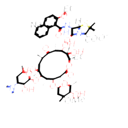 CCOc1ccc2ccccc2c1C(=O)N[C@@H]1C(=O)N2[C@@H]1SC(C)(C)[C@@H]2C(=O)[O-].CC[C@H]1OC(=O)[C@H](C)[C@@H](O[C@H]2C[C@@](C)(OC)[C@@H](O)[C@H](C)O2)[C@H](C)[C@@H](O[C@@H]2O[C@H](C)C[C@H](N(C)C)[C@H]2O)[C@](C)(O)C[C@@H](C)C(=O)[C@H](C)[C@@H](O)[C@]1(C)O.[Na+]